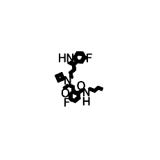 CCCCNC(=O)c1ccc(F)c2c1CC(N(CCCc1c[nH]c3ccc(F)cc13)C1CCC1)CO2